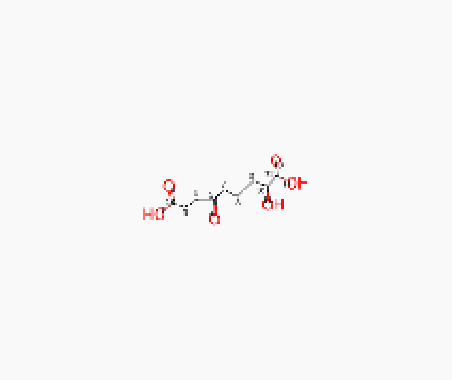 O=C(O)CCC(=O)CCCC(O)C(=O)O